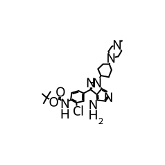 CN1CCN(C2CCC(n3nc(-c4ccc(NC(=O)OC(C)(C)C)c(Cl)c4)c4c(N)cncc43)CC2)CC1